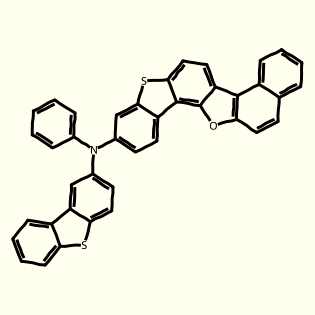 c1ccc(N(c2ccc3c(c2)sc2ccc4c(oc5ccc6ccccc6c54)c23)c2ccc3sc4ccccc4c3c2)cc1